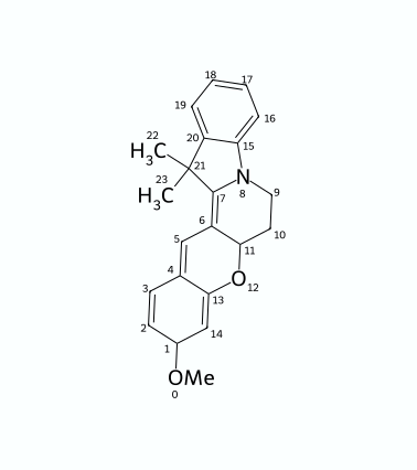 COC1C=CC2=CC3=C4N(CCC3OC2=C1)c1ccccc1C4(C)C